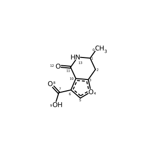 CC1Cc2occ(C(=O)O)c2C(=O)N1